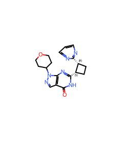 O=c1[nH]c([C@H]2CC[C@H]2c2ncccn2)nc2c1cnn2C1CCOCC1